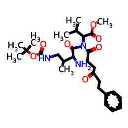 COC(=O)C(C(C)C)N(C(=O)CCC(=O)CCc1ccccc1)C(=O)C(N)C(C)CNC(=O)OC(C)(C)C